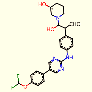 O=CC(c1ccc(Nc2ncc(-c3ccc(OC(F)F)cc3)cn2)cc1)C(O)N1CCC[C@H](O)C1